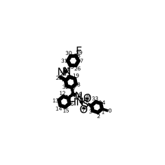 Cc1ccc(S(=O)(=O)NN=C(c2ccccc2)c2ccc3c(cnn3-c3ccc(F)cc3)c2)cc1